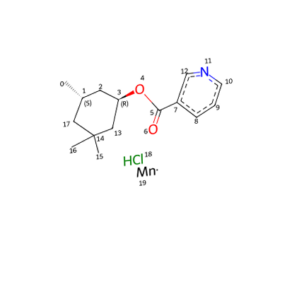 C[C@@H]1C[C@@H](OC(=O)c2cccnc2)CC(C)(C)C1.Cl.[Mn]